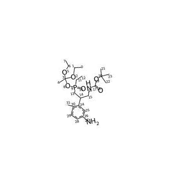 CCOC(C)(OCC)OP(=O)(CC)CC(CNC(=O)OC(C)(C)C)c1cc(N)ccc1C